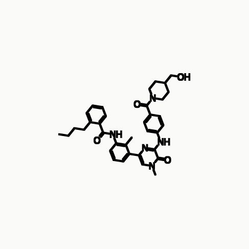 CCCCc1ccccc1C(=O)Nc1cccc(-c2cn(C)c(=O)c(Nc3ccc(C(=O)N4CCC(CO)CC4)cc3)n2)c1C